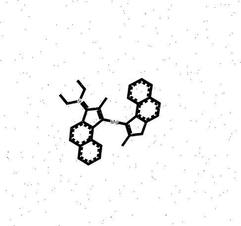 CC[Si](CC)=C1C(C)=[C]([Mg][C]2=C(C)Cc3ccc4ccccc4c32)c2c1ccc1ccccc21